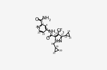 NC(=O)c1cc(NC(=O)c2c(C(F)(F)F)c(C3CC3)nn2CC2CC2)ccn1